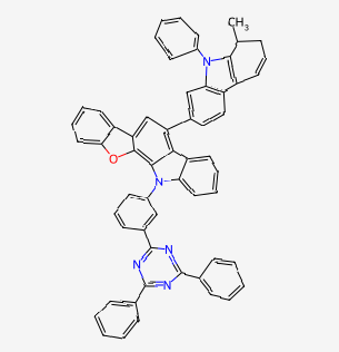 CC1CC=Cc2c1n(-c1ccccc1)c1cc(-c3cc4c5ccccc5oc4c4c3c3ccccc3n4-c3cccc(-c4nc(-c5ccccc5)nc(-c5ccccc5)n4)c3)ccc21